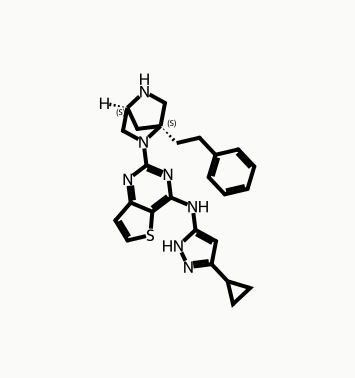 c1ccc(CC[C@]23CN[C@H](CN2c2nc(Nc4cc(C5CC5)n[nH]4)c4sccc4n2)C3)cc1